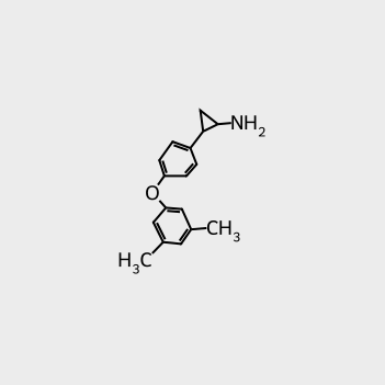 Cc1cc(C)cc(Oc2ccc(C3CC3N)cc2)c1